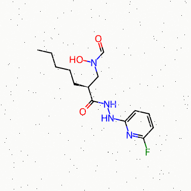 CCCCC[C@@H](CN(O)C=O)C(=O)NNc1cccc(F)n1